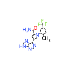 Cc1ccc(C(F)(F)F)cc1-n1cc(-c2ncnc3[nH]cnc23)cc1C(N)=O